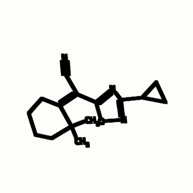 CC1(C)CCCC/C1=C(\C#N)c1nc(C2CC2)no1